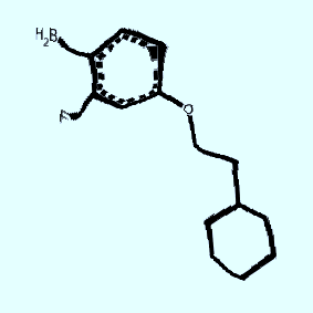 Bc1ccc(OCCC2CCCCC2)cc1F